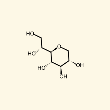 OC[C@@H](O)[C@H]1OC[C@H](O)[C@@H](O)[C@@H]1O